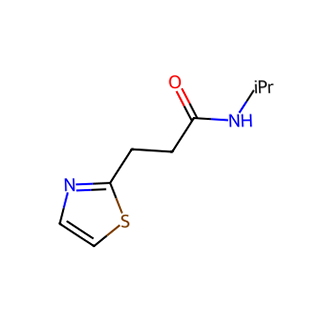 CC(C)NC(=O)CCc1nccs1